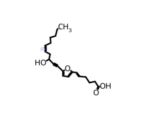 CCCCC/C=C\CC(O)C#Cc1ccc(C=CCCCC(=O)O)o1